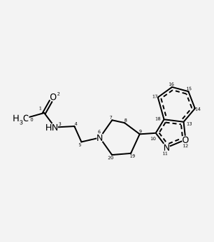 CC(=O)NCCN1CCC(c2noc3ccccc23)CC1